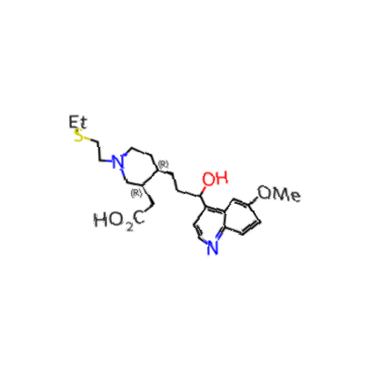 CCSCCN1CC[C@@H](CCC(O)c2ccnc3ccc(OC)cc23)[C@@H](CC(=O)O)C1